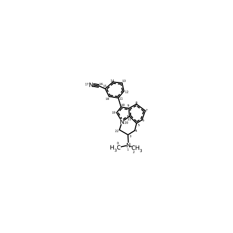 CN(C)C1Cc2cccc3c(-c4cccc(C#N)c4)cn(c23)C1